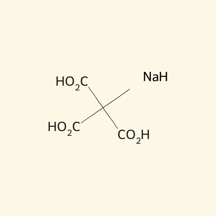 CC(C(=O)O)(C(=O)O)C(=O)O.[NaH]